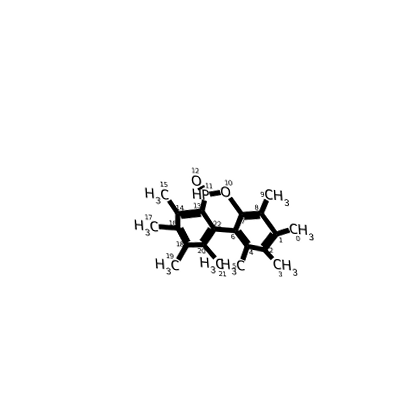 Cc1c(C)c(C)c2c(c1C)O[PH](=O)c1c(C)c(C)c(C)c(C)c1-2